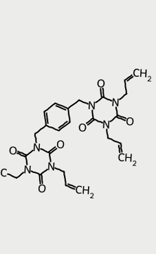 C=CCn1c(=O)n(CC)c(=O)n(Cc2ccc(Cn3c(=O)n(CC=C)c(=O)n(CC=C)c3=O)cc2)c1=O